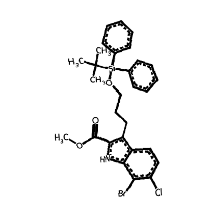 COC(=O)c1[nH]c2c(Br)c(Cl)ccc2c1CCCO[Si](c1ccccc1)(c1ccccc1)C(C)(C)C